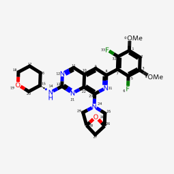 COc1cc(OC)c(F)c(-c2cc3cnc(N[C@H]4CCCOC4)nc3c(N3CC4CC(C3)O4)n2)c1F